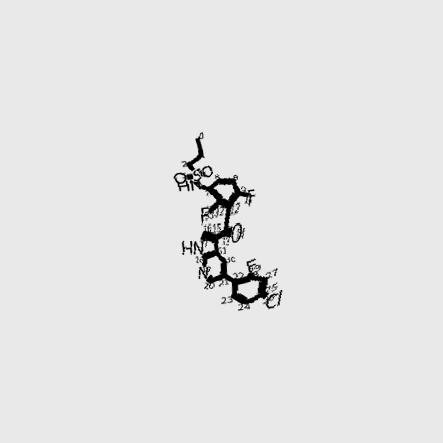 CCCS(=O)(=O)Nc1ccc(F)c(C(=O)c2c[nH]c3ncc(-c4ccc(Cl)cc4F)cc23)c1F